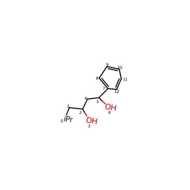 CC(C)CC(O)CC(O)c1ccccc1